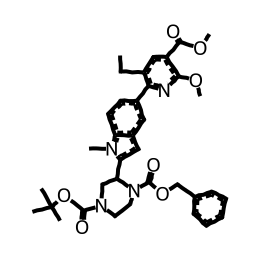 CCc1cc(C(=O)OC)c(OC)nc1-c1ccc2c(c1)cc(C1CN(C(=O)OC(C)(C)C)CCN1C(=O)OCc1ccccc1)n2C